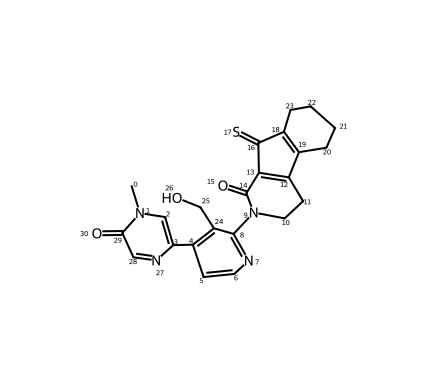 Cn1cc(-c2ccnc(N3CCC4=C(C3=O)C(=S)C3=C4CCCC3)c2CO)ncc1=O